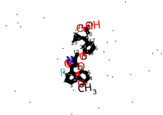 COc1ccc(F)c(-c2onc(COc3cccc([C@@H](CC(=O)O)C4CC4)c3)c2OC2CCCCC2)c1